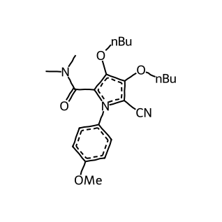 CCCCOc1c(OCCCC)c(C(=O)N(C)C)n(-c2ccc(OC)cc2)c1C#N